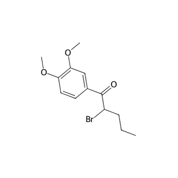 CCCC(Br)C(=O)c1ccc(OC)c(OC)c1